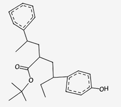 CCC(CC(CC(C)c1ccccc1)C(=O)OC(C)(C)C)c1ccc(O)cc1